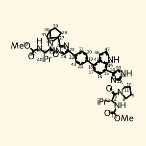 COC(=O)N[C@H](C(=O)N1CCC[C@H]1c1nc(-c2ccc(-c3ccc(-c4c[nH]c(C56CCC(CN5C(=O)[C@@H](NC(=O)OC)C(C)C)C6)n4)cc3)c3cc[nH]c23)c[nH]1)C(C)C